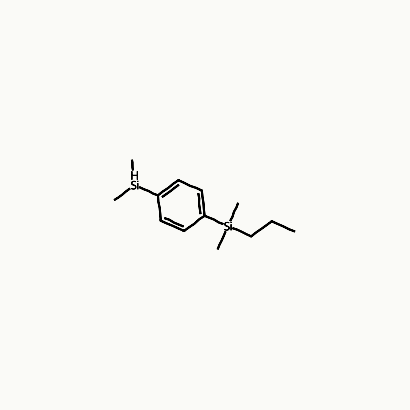 CCC[Si](C)(C)c1ccc([SiH](C)C)cc1